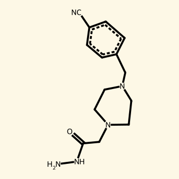 N#Cc1ccc(CN2CCN(CC(=O)NN)CC2)cc1